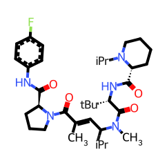 C/C(=C\C(C(C)C)N(C)C(=O)[C@@H](NC(=O)[C@H]1CCCCN1C(C)C)C(C)(C)C)C(=O)N1CCC[C@H]1C(=O)Nc1ccc(F)cc1